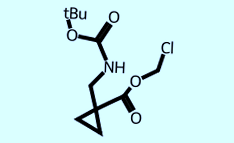 CC(C)(C)OC(=O)NCC1(C(=O)OCCl)CC1